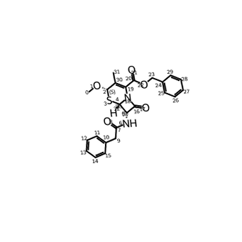 CO[C@H]1S[C@H]2[C@@H](NC(=O)Cc3ccccc3)C(=O)N2C(C(=O)OCc2ccccc2)=C1C